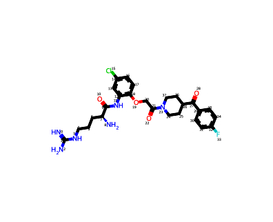 N=C(N)NCCC[C@H](N)C(=O)Nc1cc(Cl)ccc1OCC(=O)N1CCC(C(=O)c2ccc(F)cc2)CC1